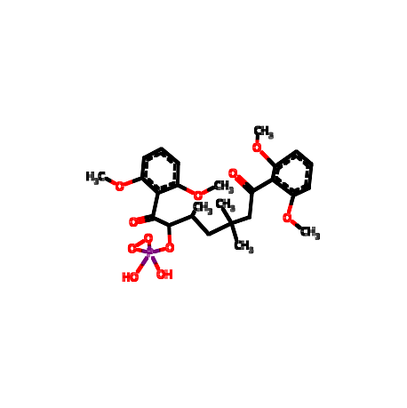 COc1cccc(OC)c1C(=O)CC(C)(C)CC(C)C(OP1(O)(O)OO1)C(=O)c1c(OC)cccc1OC